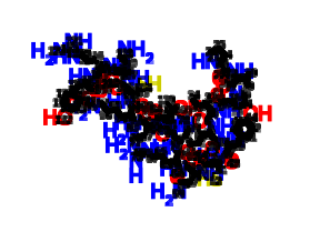 CC[C@H](C)[C@H](NC(=O)[C@@H](NC(=O)[C@@H]1CCCN1C(=O)[C@@H](NC(=O)[C@@H]1CCCN1)C(C)C)[C@@H](C)CC)C(=O)N[C@@H](Cc1ccc(O)cc1)C(=O)N[C@@H](CS)C(=O)N[C@@H](CC(N)=O)C(=O)N[C@@H](CCCNC(=N)N)C(=O)N[C@@H](CCN)C(=O)N[C@H](C(=O)N[C@H](CCN)C(=O)N[C@@H](CCCCN)C(=O)N[C@@H](CS)C(=O)N[C@@H](CCN)C(=O)N[C@@H](CCCNC(=N)N)C(=O)N[C@@H](Cc1ccc(O)cc1)C(=O)O)[C@@H](C)O